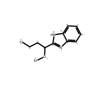 CCOC(CCCl)c1nc2ccccc2[nH]1